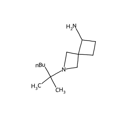 CCCCC(C)(C)N1CC2(CCC2N)C1